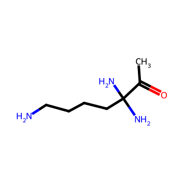 CC(=O)C(N)(N)CCCCN